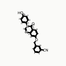 N#Cc1cccc(COc2ccc3c(=O)n(-c4ccc(O)cc4)cnc3c2)c1